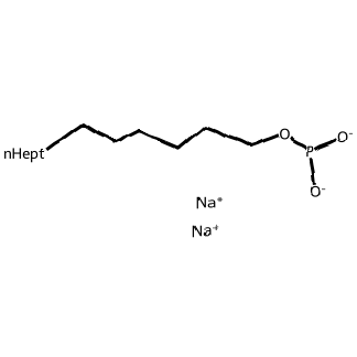 CCCCCCCCCCCCCOP([O-])[O-].[Na+].[Na+]